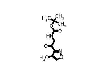 Cc1conc1C(=O)CNC(=O)OC(C)(C)C